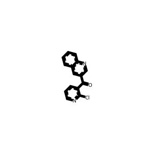 O=C(c1cnc2ccccc2c1)c1cccnc1Cl